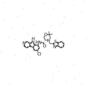 CC1(C)CN(Cc2nc3ccccc3s2)[C@H](C(=O)Nc2cc(Cl)cc3c2[nH]c2cnccc23)CO1